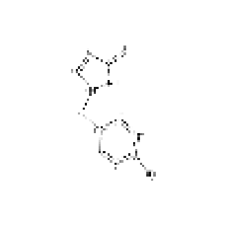 C=C1C=CN(Cc2ccc(C(C)C)cc2)N1